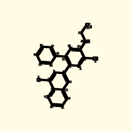 N#Cc1nc(-c2cc(Cl)c3ncccc3c2)c(-c2ccccc2)nc1NCC(F)(F)F